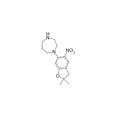 CC1(C)Cc2cc([N+](=O)[O-])c(N3CCCNCC3)cc2O1